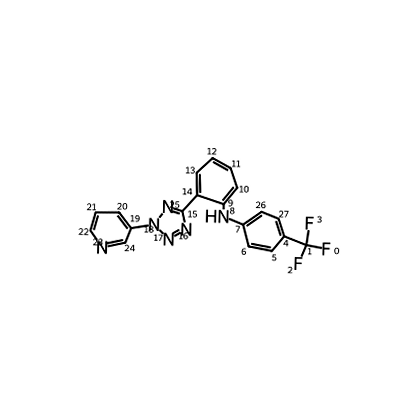 FC(F)(F)c1ccc(Nc2ccccc2-c2nnn(-c3cccnc3)n2)cc1